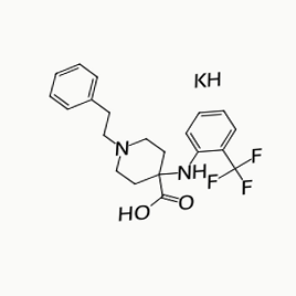 O=C(O)C1(Nc2ccccc2C(F)(F)F)CCN(CCc2ccccc2)CC1.[KH]